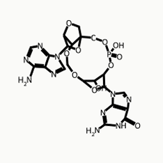 Nc1nc2c(ncn2C2OC3OCOC4C5OCC4(COP(=O)(O)OC2C3O)OC5n2cnc3c(N)ncnc32)c(=O)[nH]1